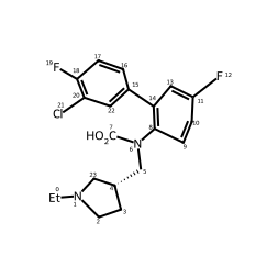 CCN1CC[C@@H](CN(C(=O)O)c2ccc(F)cc2-c2ccc(F)c(Cl)c2)C1